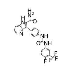 NC(=O)c1[nH]c2cccnc2c1-c1ccc(NC(=O)Nc2ccc(F)c(C(F)(F)F)c2)cc1